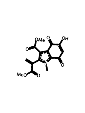 C=C(C(=O)OC)c1c(C(=O)OC)c2c(n1C)C(=O)C=C(O)C2=O